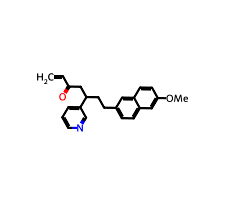 C=CC(=O)CC(CCc1ccc2cc(OC)ccc2c1)c1cccnc1